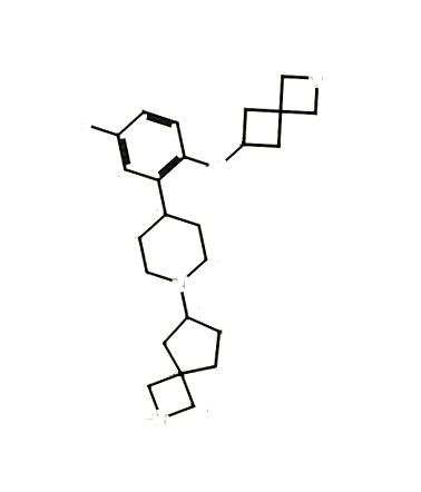 Fc1ccc(OC2CC3(COC3)C2)c(C2CCN(C3CCC4(CNC4)C3)CC2)c1